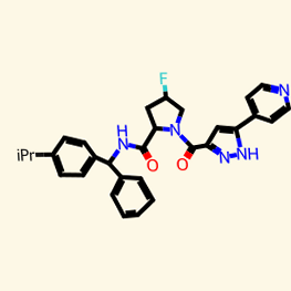 CC(C)c1ccc(C(NC(=O)C2CC(F)CN2C(=O)c2cc(-c3ccncc3)[nH]n2)c2ccccc2)cc1